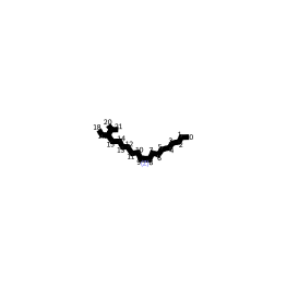 CCCCCCCC/C=C\CCCCCCC(CC)[C](C)C